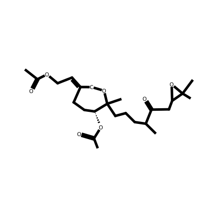 CC(=O)OC/C=C1\CC[C@@H](OC(C)=O)C(C)(CCCC(C)C(=O)CC2OC2(C)C)OC1